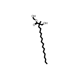 CCCCCCCCCCCCCCCCC(C)(CO)C(=O)OCO